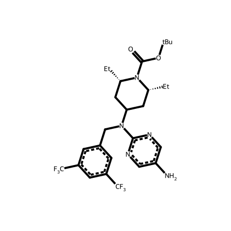 CC[C@@H]1CC(N(Cc2cc(C(F)(F)F)cc(C(F)(F)F)c2)c2ncc(N)cn2)C[C@H](CC)N1C(=O)OC(C)(C)C